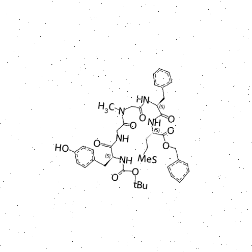 CSCC[C@H](NC(=O)[C@H](Cc1ccccc1)NC(=O)CN(C)C(=O)CNC(=O)[C@H](Cc1ccc(O)cc1)NC(=O)OC(C)(C)C)C(=O)OCc1ccccc1